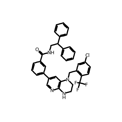 O=C(NCC(c1ccccc1)c1ccccc1)c1cccc(-c2cnc3c(c2)N(Cc2cc(Cl)ccc2C(F)(F)F)CCN3)c1